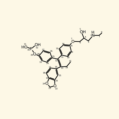 CCNCC(O)COc1ccc(C(=C(CC)c2ccc3c(c2)OCO3)c2ccc(OP(O)O)cc2)cc1